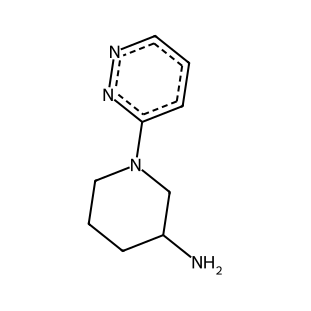 NC1CCCN(c2cccnn2)C1